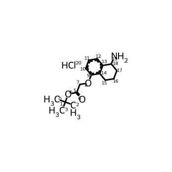 CC(C)(C)OC(=O)COc1cccc2c1CCCC2N.Cl